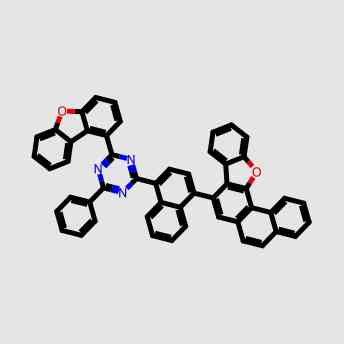 c1ccc(-c2nc(-c3ccc(-c4cc5ccc6ccccc6c5c5oc6ccccc6c45)c4ccccc34)nc(-c3cccc4oc5ccccc5c34)n2)cc1